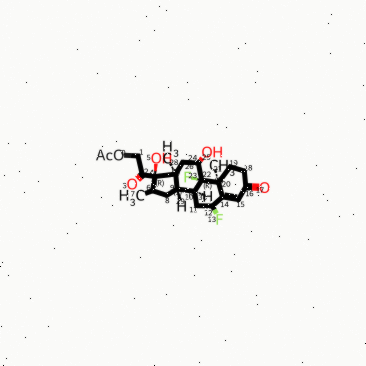 CC(=O)OCC(=O)[C@@]1(O)C(C)C[C@H]2[C@@H]3CC(F)C4=CC(=O)CC[C@]4(C)[C@@]3(F)C(O)C[C@@]21C